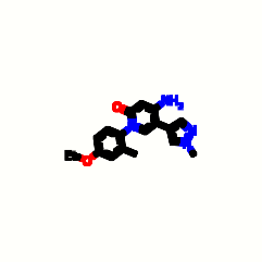 CCOc1ccc(-n2cc(-c3cnn(C)c3)c(N)cc2=O)c(C)c1